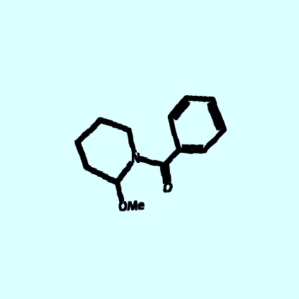 COC1CCCCN1C(=O)c1ccccc1